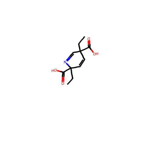 CCC1(C(=O)O)C=CC(CC)(C(=O)O)N=C1